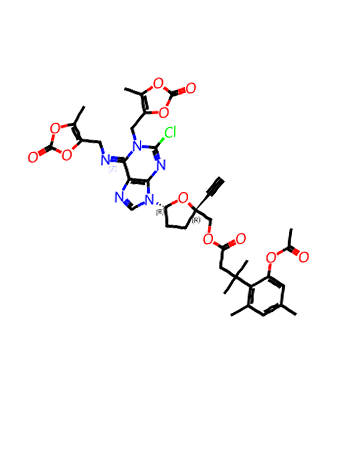 C#C[C@@]1(COC(=O)CC(C)(C)c2c(C)cc(C)cc2OC(C)=O)CC[C@H](n2cnc3/c(=N/Cc4oc(=O)oc4C)n(Cc4oc(=O)oc4C)c(Cl)nc32)O1